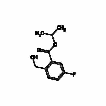 CC(C)OC(=O)c1cc(F)ccc1CO